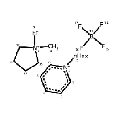 CCCCCC[n+]1ccccc1.CC[N+]1(C)CCCC1.F[B-](F)(F)F